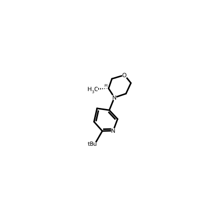 C[C@@H]1COCCN1c1ccc(C(C)(C)C)nc1